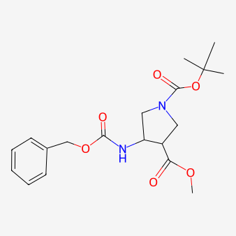 COC(=O)C1CN(C(=O)OC(C)(C)C)CC1NC(=O)OCc1ccccc1